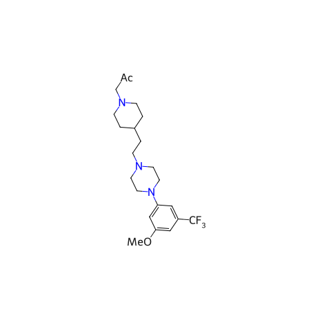 COc1cc(N2CCN(CCC3CCN(CC(C)=O)CC3)CC2)cc(C(F)(F)F)c1